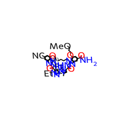 CCn1nc(C)cc1C(=O)Nc1nc2cc(C(N)=O)cc(OCCCOC)c2n1CCCC[C@H]1COc2cc(C#N)cc3nc(NC(=O)c4cc(C)nn4CC)n1c23